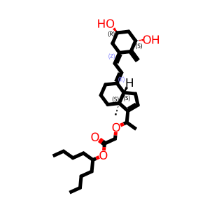 C=C1/C(=C\C=C2/CCC[C@]3(C)C(C(C)OCC(=O)OC(CCCC)CCCC)=CC[C@@H]23)C[C@@H](O)C[C@@H]1O